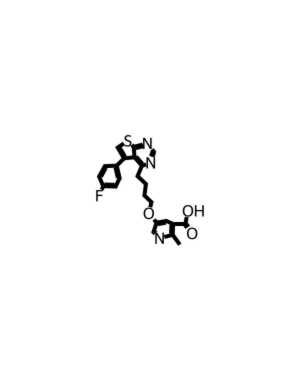 Cc1ncc(OCCCCc2ncnc3scc(-c4ccc(F)cc4)c23)cc1C(=O)O